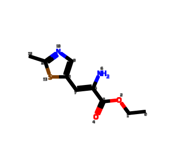 CCOC(=O)/C(N)=C/c1cnc(C)s1